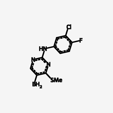 Bc1cnc(Nc2ccc(F)c(Cl)c2)nc1SC